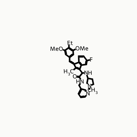 CCc1c(OC)cc(/C=C2/C(C)=C(C(NC3CCN(C)C3)C(=O)NCc3cccnc3)c3cc(F)ccc32)cc1OC